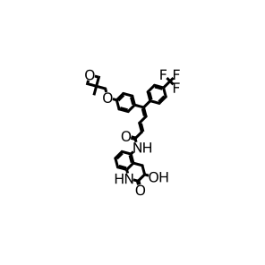 CC1(COc2ccc(/C(=C\C=C\C(=O)Nc3cccc4c3CC(O)C(=O)N4)c3ccc(C(F)(F)F)cc3)cc2)COC1